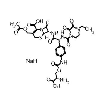 CCN1CCN(C(=O)N[C@@H](C(=O)N[C@@H]2C(=O)N3C(C(=O)O)=C(COC(C)=O)CS[C@H]23)c2ccc(NC(=O)OC[C@@H](N)C(=O)O)cc2)C(=O)C1=O.[NaH]